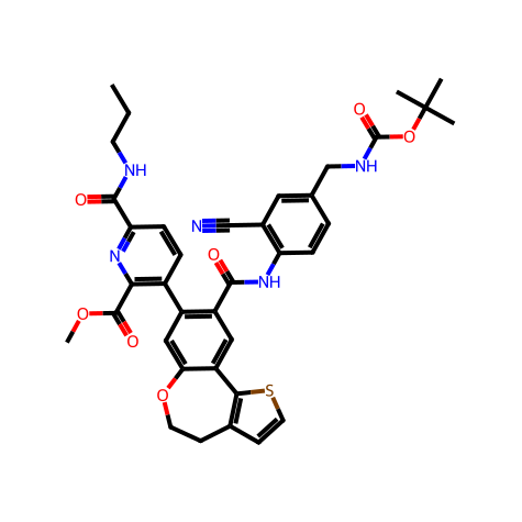 CCCNC(=O)c1ccc(-c2cc3c(cc2C(=O)Nc2ccc(CNC(=O)OC(C)(C)C)cc2C#N)-c2sccc2CCO3)c(C(=O)OC)n1